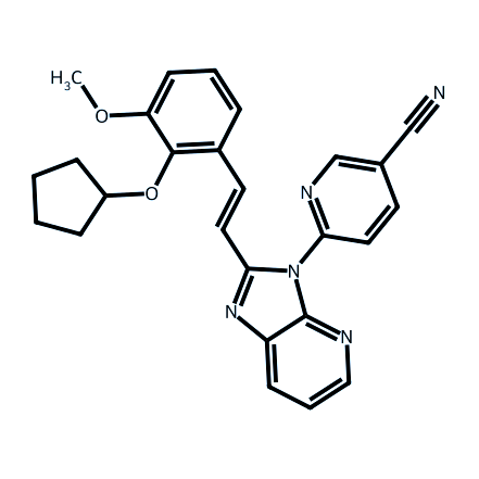 COc1cccc(/C=C/c2nc3cccnc3n2-c2ccc(C#N)cn2)c1OC1CCCC1